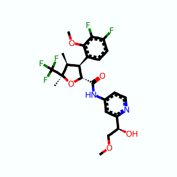 COC[C@H](O)c1cc(NC(=O)[C@@H]2O[C@@](C)(C(F)(F)F)[C@@H](C)[C@H]2c2ccc(F)c(F)c2OC)ccn1